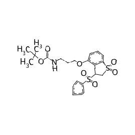 CC(C)(C)OC(=O)NCCCOc1cccc2c1C(S(=O)(=O)c1ccccc1)CS2(=O)=O